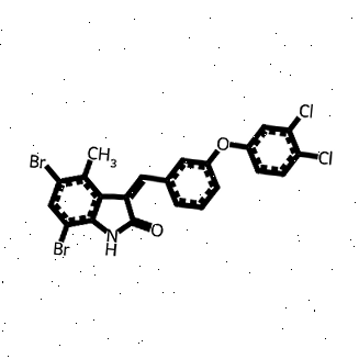 Cc1c(Br)cc(Br)c2c1C(=Cc1cccc(Oc3ccc(Cl)c(Cl)c3)c1)C(=O)N2